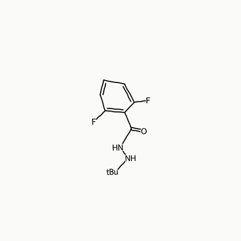 CC(C)(C)NNC(=O)c1c(F)cccc1F